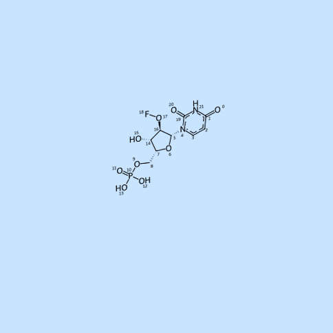 O=c1ccn([C@@H]2O[C@H](COP(=O)(O)O)[C@H](O)[C@H]2OF)c(=O)[nH]1